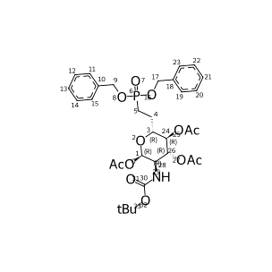 CC(=O)O[C@H]1O[C@H](CCP(=O)(OCc2ccccc2)OCc2ccccc2)[C@@H](OC(C)=O)[C@H](OC(C)=O)[C@H]1NC(=O)OC(C)(C)C